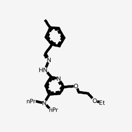 CCCN(CCC)c1cc(N/N=C/c2cccc(C)c2)nc(OCCOCC)c1